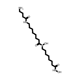 NCCCC(=O)NCCCCCCCC(=O)N(O)CCCCCCCC(=O)NO